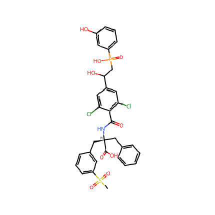 CS(=O)(=O)c1cccc(C[C@](Cc2ccccc2)(NC(=O)c2c(Cl)cc(C(O)CP(=O)(O)c3cccc(O)c3)cc2Cl)C(=O)O)c1